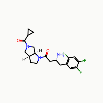 N[C@@H](CC(=O)N1CC[C@H]2CN(C(=O)C3CC3)C[C@H]21)Cc1cc(F)c(F)cc1F